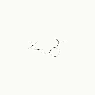 CC(C)(C)NOCC1CN(C(=O)O)CCO1